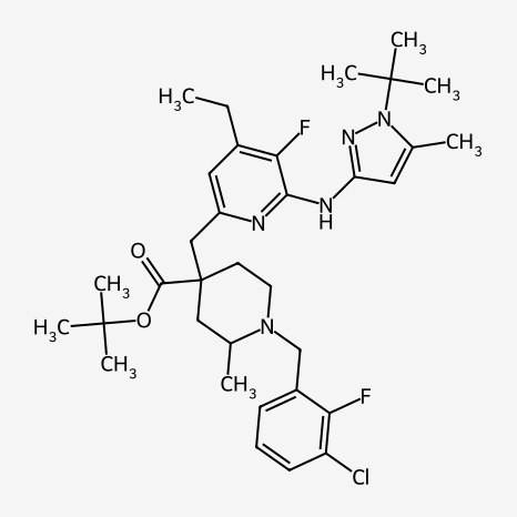 CCc1cc(CC2(C(=O)OC(C)(C)C)CCN(Cc3cccc(Cl)c3F)C(C)C2)nc(Nc2cc(C)n(C(C)(C)C)n2)c1F